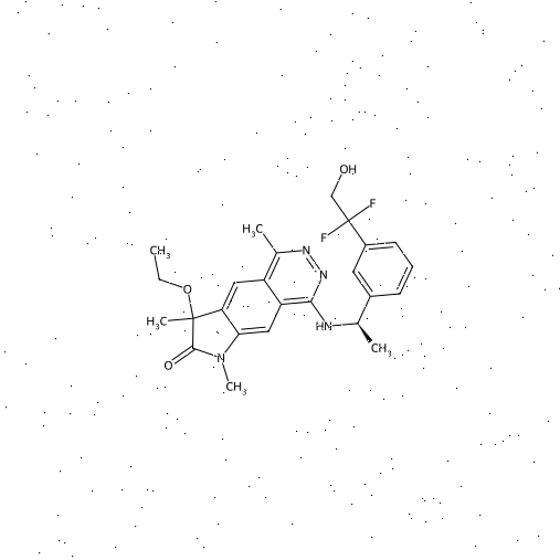 CCOC1(C)C(=O)N(C)c2cc3c(N[C@H](C)c4cccc(C(F)(F)CO)c4)nnc(C)c3cc21